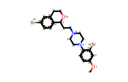 COc1ccc(N2CCN(CCC3OCCc4cc(Br)ccc43)CC2)c(Br)c1